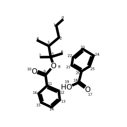 CCCC(C)C(C)(C)OC(=O)c1ccccc1.O=C(O)c1ccccc1